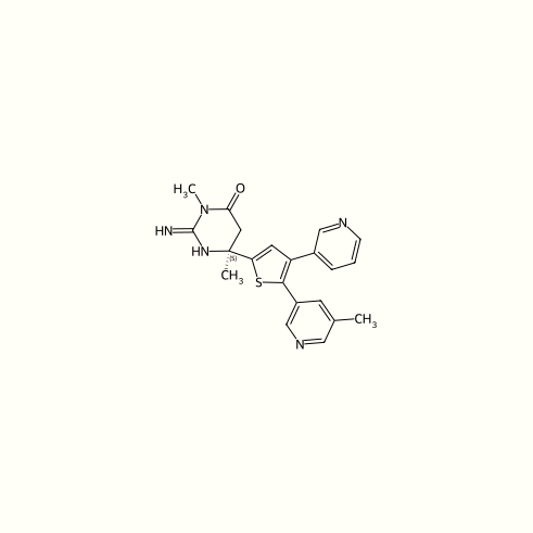 Cc1cncc(-c2sc([C@]3(C)CC(=O)N(C)C(=N)N3)cc2-c2cccnc2)c1